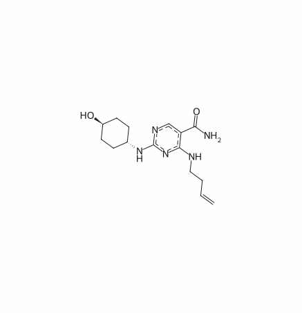 C=CCCNc1nc(N[C@H]2CC[C@H](O)CC2)ncc1C(N)=O